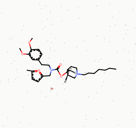 CCCCCCC[N+]12CCC(CC1)[C@@H](OC(=O)N(CCc1ccc(OC)c(OC)c1)Cc1ccc(C)o1)C2.[Br-]